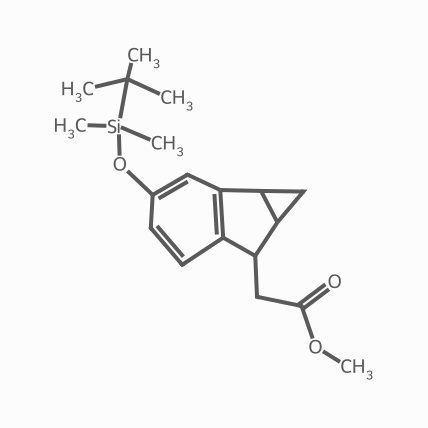 COC(=O)CC1c2ccc(O[Si](C)(C)C(C)(C)C)cc2C2CC12